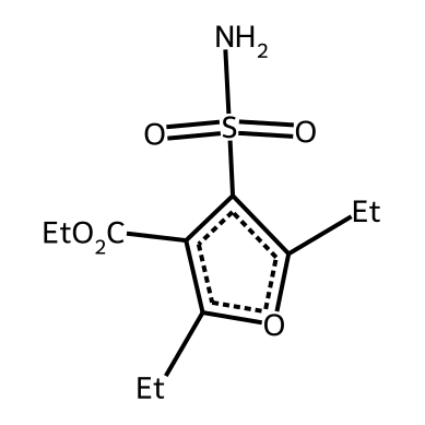 CCOC(=O)c1c(CC)oc(CC)c1S(N)(=O)=O